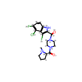 CN1CCC[C@@H]1C(=O)N1CCN(C(=O)c2[nH]c3ccc(F)c(Cl)c3c2F)CC1